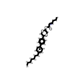 CCC/C=C/C(=O)OC1COC(c2ccc(C34CCC(CCCCCCC)(CC3)CC4)cc2)CO1